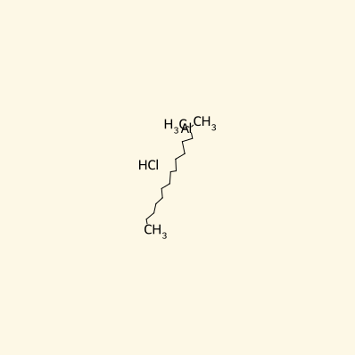 CCCCCCCCCCCC[CH2][Al]([CH3])[CH3].Cl